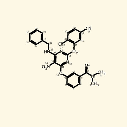 CN(C)C(=O)c1cccc(Oc2nc(Oc3cc(C#N)ccc3Cl)nc(NCc3ccccc3)c2[N+](=O)[O-])c1